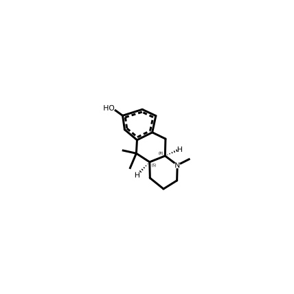 CN1CCC[C@@H]2[C@H]1Cc1ccc(O)cc1C2(C)C